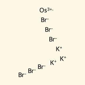 [Br-].[Br-].[Br-].[Br-].[Br-].[Br-].[K+].[K+].[K+].[Os+3]